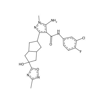 Cc1noc(C2(O)CC3CC(c4nn(C)c(N)c4C(=O)Nc4ccc(F)c(Cl)c4)CC3C2)n1